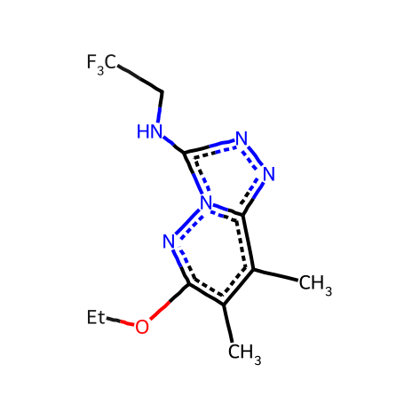 CCOc1nn2c(NCC(F)(F)F)nnc2c(C)c1C